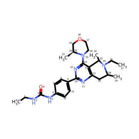 CCNC(=O)Nc1ccc(-c2nc3c(c(N4CCOC[C@@H]4C)n2)C(C)N(CC)C(C)C3)cc1